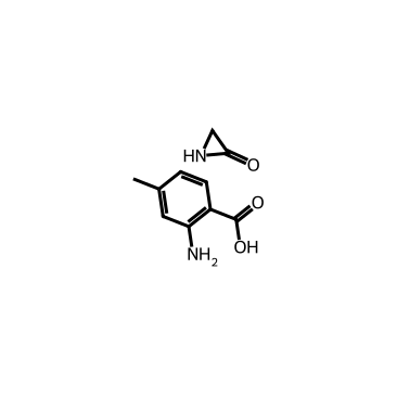 Cc1ccc(C(=O)O)c(N)c1.O=C1CN1